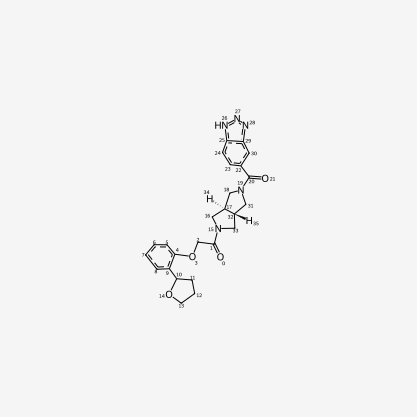 O=C(COc1ccccc1C1CCCO1)N1C[C@H]2CN(C(=O)c3ccc4[nH]nnc4c3)C[C@@H]2C1